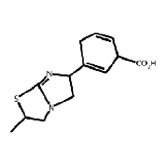 CC1CN2CC(C3=CC(C(=O)O)C=CC3)N=C2S1